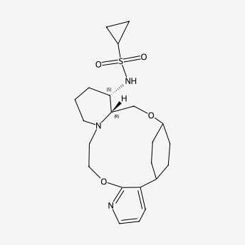 O=S(=O)(N[C@H]1CCCN2CCOc3ncccc3C3CCC(CC3)OC[C@@H]12)C1CC1